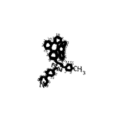 Cc1ccc(-c2cc(-c3ccc4c(c3)C3(c5ccccc5-c5ccccc5-4)c4ccccc4-c4ccccc43)nc(-c3ccc(-c4ccncc4)cc3)n2)cc1